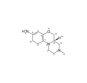 CN1CCN2C3=C(C=C(N)CC3)OC[C@@H]2C1